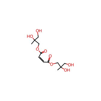 CC(O)(CO)COC(=O)/C=C\C(=O)OCC(C)(O)CO